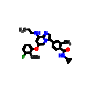 COc1c(F)cccc1Oc1cc(NCCC(F)(F)F)c2ncc(-c3ccc(C(=O)NC4CC4)c(C)c3)n2c1